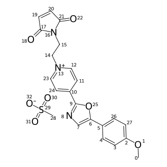 COc1ccc(-c2cnc(-c3cc[n+](CCN4C(=O)C=CC4=O)cc3)o2)cc1.CS(=O)(=O)[O-]